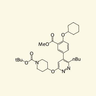 CCCCc1nnc(OC2CCN(C(=O)OC(C)(C)C)CC2)cc1-c1ccc(OC2CCCCC2)c(C(=O)OC)c1